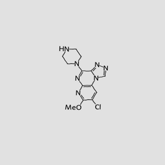 COc1nc2nc(N3CCNCC3)c3nncn3c2cc1Cl